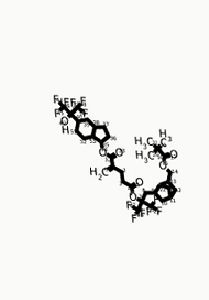 C=C(CCC(=O)OC(CC1CC2CC(COC(=O)C(C)(C)C)C1C2)(C(F)(F)F)C(F)(F)F)C(=O)OC1CCC2CC(C(O)(C(F)(F)F)C(F)(F)F)CCC21